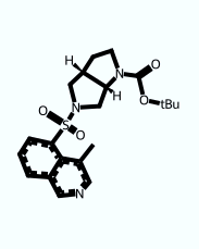 Cc1cncc2cccc(S(=O)(=O)N3C[C@@H]4CCN(C(=O)OC(C)(C)C)[C@@H]4C3)c12